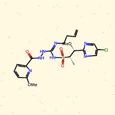 C=CCC/N=C(/NNC(=O)c1cccc(OC)n1)NS(=O)(=O)[C@@H](C)[C@H](OC)c1ncc(Cl)cn1